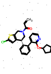 C=CC(=O)N1Cc2sc(Cl)cc2[C@@H](c2ccccc2-c2cccnc2OC2CCCC2)C1